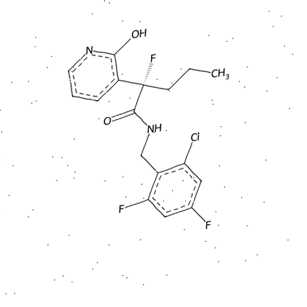 CCC[C@@](F)(C(=O)NCc1c(F)cc(F)cc1Cl)c1cccnc1O